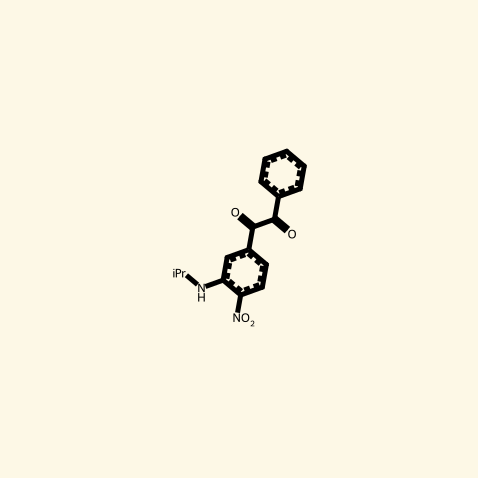 CC(C)Nc1cc(C(=O)C(=O)c2ccccc2)ccc1[N+](=O)[O-]